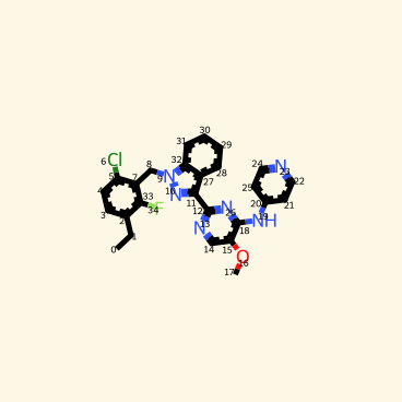 CCc1ccc(Cl)c(Cn2nc(-c3ncc(OC)c(Nc4ccncc4)n3)c3ccccc32)c1F